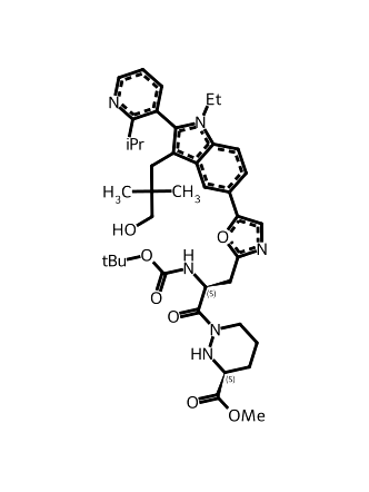 CCn1c(-c2cccnc2C(C)C)c(CC(C)(C)CO)c2cc(-c3cnc(C[C@H](NC(=O)OC(C)(C)C)C(=O)N4CCC[C@@H](C(=O)OC)N4)o3)ccc21